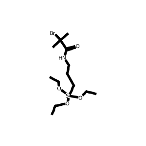 CCO[Si](CCCNC(=O)C(C)(C)Br)(OCC)OCC